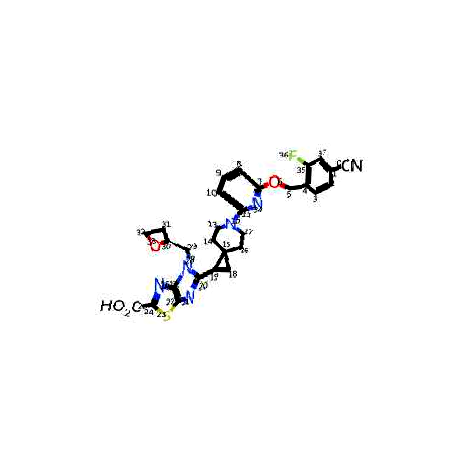 N#Cc1ccc(COc2cccc(N3CCC4(CC3)CC4c3nc4sc(C(=O)O)nc4n3C[C@@H]3CCO3)n2)c(F)c1